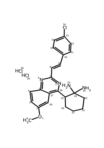 COc1ccc2nc(C=Cc3ccc(Cl)cc3)nc(C3CCCCC3(N)N)c2c1.Cl.Cl